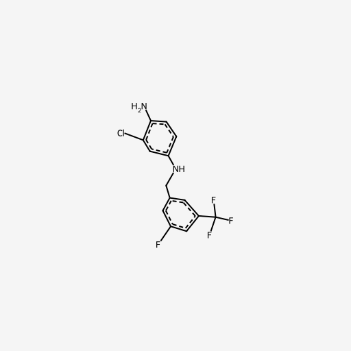 Nc1ccc(NCc2cc(F)cc(C(F)(F)F)c2)cc1Cl